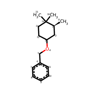 C[C@H]1CC(OCc2ccccc2)CCC1(C)C